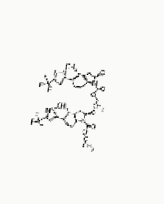 CCOC(=O)N1C(=O)Cc2cc(-c3cc(C(F)(F)F)nn3C)ccc21.CCOC(=O)N1C(=O)Cc2cc(-c3cc(C(F)(F)F)nn3C)ccc21